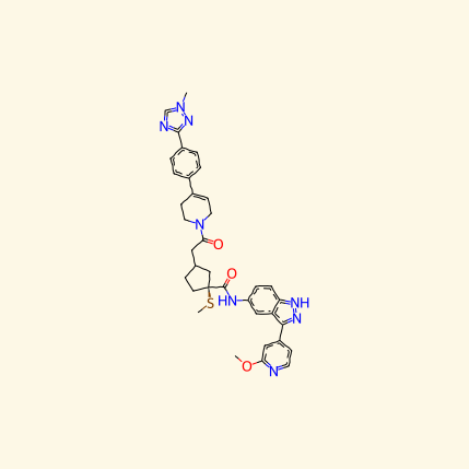 COc1cc(-c2n[nH]c3ccc(NC(=O)[C@]4(SC)CCC(CC(=O)N5CC=C(c6ccc(-c7ncn(C)n7)cc6)CC5)C4)cc23)ccn1